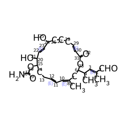 C/C(C=O)=C\C(C)C1C/C(C)=C/C=C/CCC(OC(N)=O)C(O)/C=C/C(O)CCC/C=C/C(=O)O1